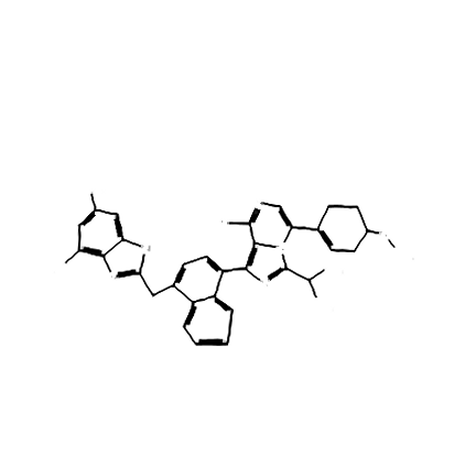 CNC1CC=C(c2cnc(N)c3c(-c4ccc(Cc5nc6c(C)cc(C)cc6[nH]5)c5ccccc45)nc(C(C)C)n23)CC1